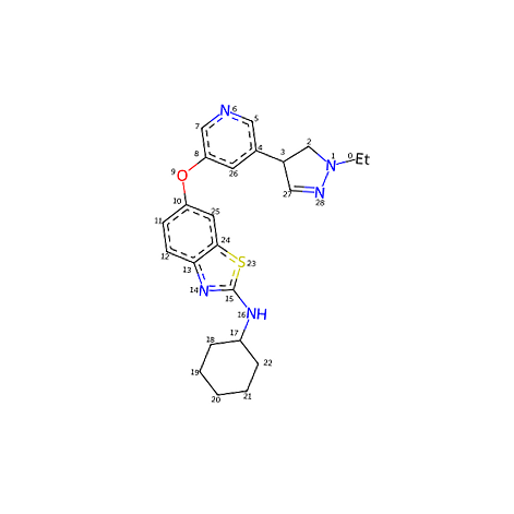 CCN1CC(c2cncc(Oc3ccc4nc(NC5CCCCC5)sc4c3)c2)C=N1